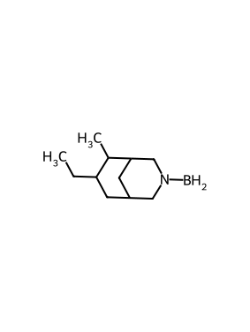 BN1CC2CC(CC)C(C)C(C2)C1